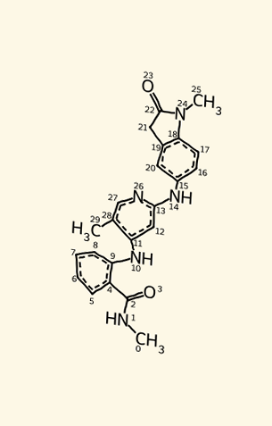 CNC(=O)c1ccccc1Nc1cc(Nc2ccc3c(c2)CC(=O)N3C)ncc1C